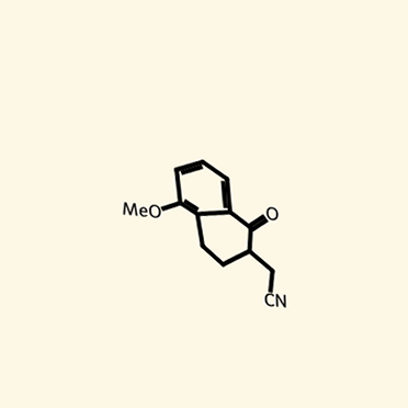 COc1cccc2c1CCC(CC#N)C2=O